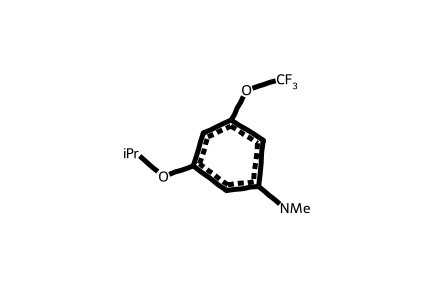 CNc1cc(OC(C)C)cc(OC(F)(F)F)c1